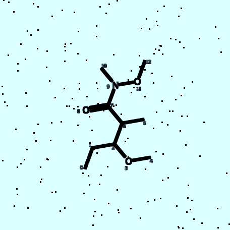 CCC(OC)C(C)C(=O)N(C)OC